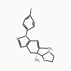 CC1=Cc2c(cnn2-c2ccc(F)cc2)C[C@]1(C)C1OCCO1